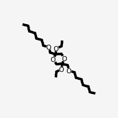 CCCCCCCOCC1(OCC)COC(COCCCCCCC)(OCC)CO1